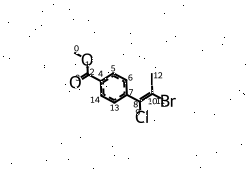 COC(=O)c1ccc(/C(Cl)=C(/Br)I)cc1